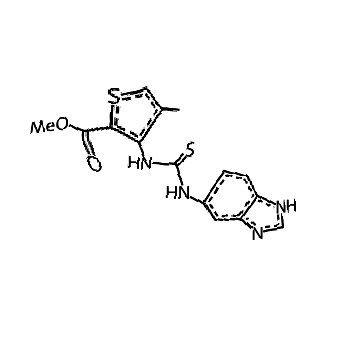 COC(=O)c1scc(C)c1NC(=S)Nc1ccc2[nH]cnc2c1